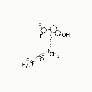 CN(CCCCCCC1=C(c2cc(F)cc(F)c2)CCCc2cc(O)ccc21)CCC[S+]([O-])CCCC(F)(F)C(F)(F)F